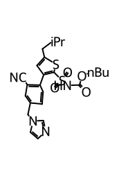 CCCCOC(=O)NS(=O)(=O)c1sc(CC(C)C)cc1-c1ccc(Cn2ccnc2)cc1C#N